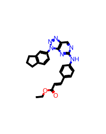 CCOC(=O)C=Cc1ccc(Nc2ncc3nnn(-c4ccc5c(c4)CCC5)c3n2)cc1